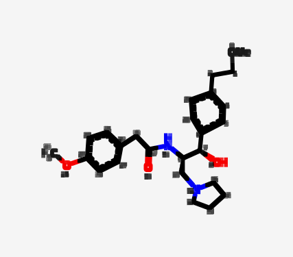 COCCc1ccc([C@@H](O)[C@@H](CN2CCCC2)NC(=O)Cc2ccc(OC(F)(F)F)cc2)cc1